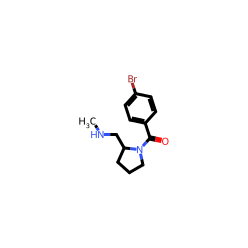 CNCC1CCCN1C(=O)c1ccc(Br)cc1